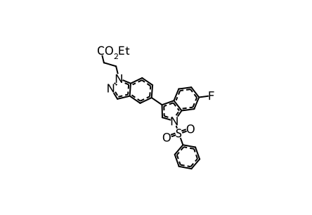 CCOC(=O)CCn1ncc2cc(-c3cn(S(=O)(=O)c4ccccc4)c4cc(F)ccc34)ccc21